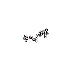 C=C(CCOc1cc(-c2cc(-c3cc(OC)c(OC)c(OC)c3)on2)ccc1OC)COc1ccc(C2NC(=O)c3ccccc3N2)cc1OC